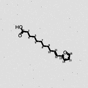 O=C(O)CCCCCCCCC=Cc1ccco1